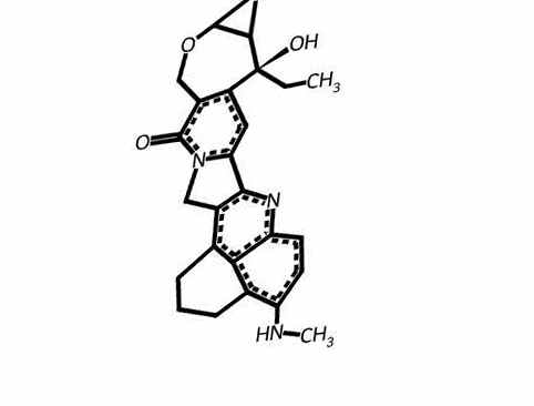 CC[C@]1(O)c2cc3n(c(=O)c2COC2OC21)Cc1c-3nc2ccc(NC)c3c2c1CCC3